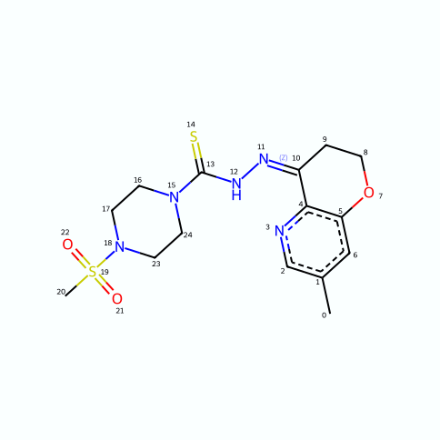 Cc1cnc2c(c1)OCC/C2=N/NC(=S)N1CCN(S(C)(=O)=O)CC1